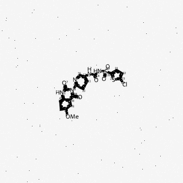 COc1ccc2[nH]c(=O)n(-c3ccc(NC(=O)NS(=O)(=O)c4ccc(Cl)s4)cn3)c(=O)c2c1